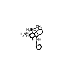 CC1CCC/C(=C\NCc2ccccc2)C1(O)c1cc(F)cc(NN)c1N